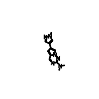 CN(C)c1ncc2cc(-c3cnn(C)c3)cn2n1